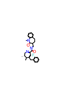 CC1C(Cc2ccccc2F)=CC(C(=O)N=CC2CCc3ccccc3N(C)C2=O)=NC[C@H]1C